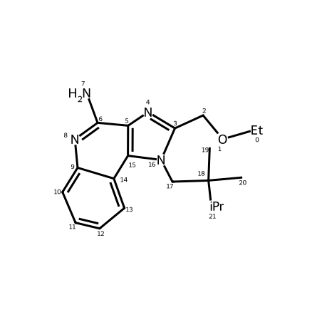 CCOCc1nc2c(N)nc3ccccc3c2n1CC(C)(C)C(C)C